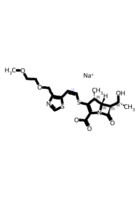 COCCOCc1ncsc1/C=C\SC1=C(C(=O)[O-])N2C(=O)[C@H]([C@@H](C)O)[C@H]2[C@H]1C.[Na+]